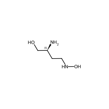 N[C@H](CO)CCNO